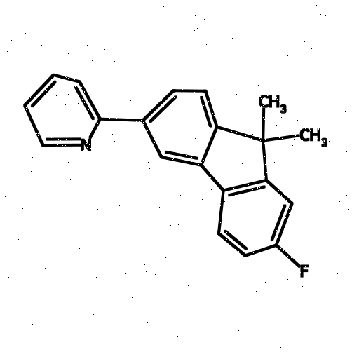 CC1(C)c2ccc(-c3ccccn3)cc2-c2ccc(F)cc21